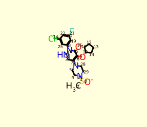 C[S@@+]([O-])N1CCN(C2=C(OC3CCCC3)C(=O)N(c3cc(F)cc(Cl)c3)NC2)CC1